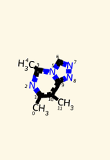 Cc1nc(C)n2cnnc2c1C